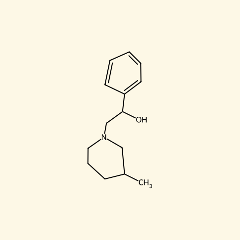 CC1CCCN(CC(O)c2ccccc2)C1